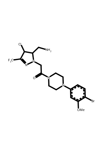 COc1cc(N2CCN(C(=O)CN3N=C(C(F)(F)F)C(Cl)C3CN)CC2)ccc1Br